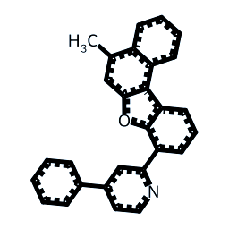 Cc1cc2oc3c(-c4cc(-c5ccccc5)ccn4)cccc3c2c2ccccc12